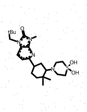 Cn1c(=O)n(CC(C)(C)C)c2ccc(C3CCC(C)(C)C(N4CCS(O)(O)CC4)C3)nc21